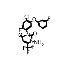 Nn1c(C(F)(F)F)cc(=O)n(-c2cc(Oc3cccc(F)c3)c(Cl)cc2F)c1=O